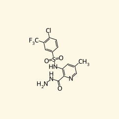 Cc1cnc(C(=O)NN)c(NS(=O)(=O)c2ccc(Cl)c(C(F)(F)F)c2)c1